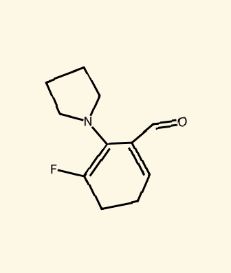 O=CC1=CCCC(F)=C1N1CCCC1